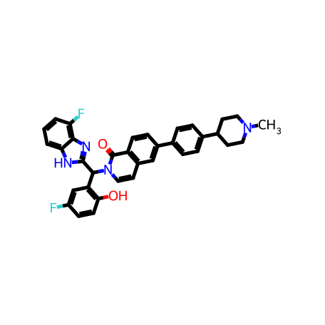 CN1CCC(c2ccc(-c3ccc4c(=O)n(C(c5nc6c(F)cccc6[nH]5)c5cc(F)ccc5O)ccc4c3)cc2)CC1